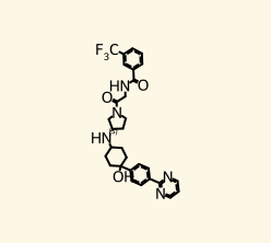 O=C(NCC(=O)N1CC[C@H](NC2CCC(O)(c3ccc(-c4ncccn4)cc3)CC2)C1)c1cccc(C(F)(F)F)c1